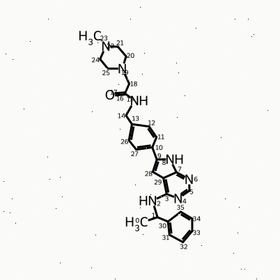 CC(Nc1ncnc2[nH]c(-c3ccc(CNC(=O)CN4CCN(C)CC4)cc3)cc12)c1ccccc1